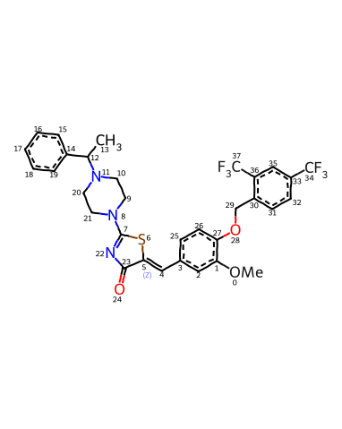 COc1cc(/C=C2\SC(N3CCN(C(C)c4ccccc4)CC3)=NC2=O)ccc1OCc1ccc(C(F)(F)F)cc1C(F)(F)F